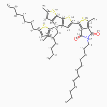 CCCCCCCCCCCCN1C(=O)c2c(C)sc(-c3cc4c(s3)-c3sc(C)cc3[Si]4(CC(CC)CCCC)c3ccc(CCCCCCC)s3)c2C1=O